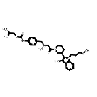 COCCCn1c(C2CCCN(C(=O)C[C@H](N)Cc3ccc(NC(=O)OCC(C)C)cc3)C2)c(C)c2ccccc21